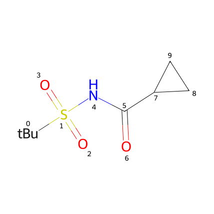 CC(C)(C)S(=O)(=O)NC(=O)C1CC1